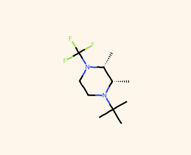 C[C@@H]1[C@H](C)N(C(C)(C)C)CCN1C(F)(F)F